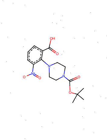 CC(C)(C)OC(=O)N1CCN(c2c(C(=O)O)cccc2[N+](=O)[O-])CC1